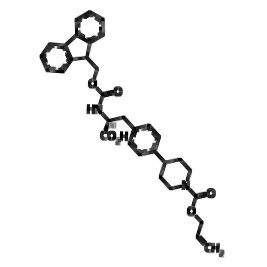 C=CCOC(=O)N1CCC(c2ccc(C[C@H](NC(=O)OCC3c4ccccc4-c4ccccc43)C(=O)O)cc2)CC1